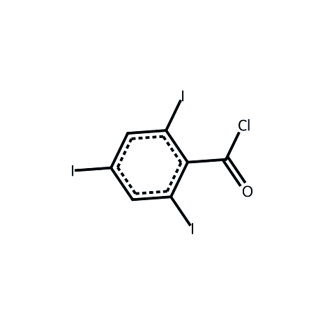 O=C(Cl)c1c(I)cc(I)cc1I